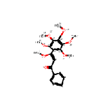 CCCCOC(=CC(=O)c1ccccc1)c1c(OCCCC)c(OCCCC)c(OCCCC)c(OCCCC)c1OCCCC